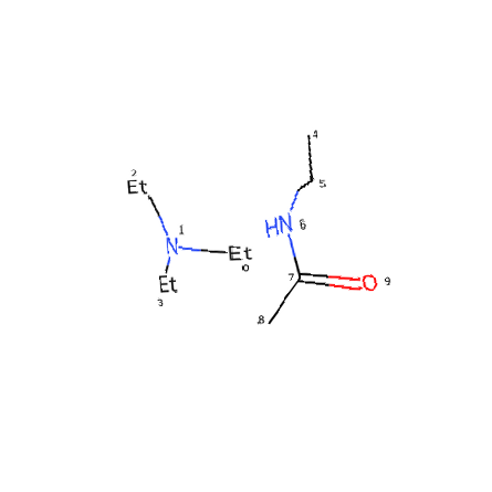 CCN(CC)CC.CCNC(C)=O